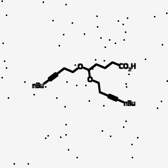 CCCCC#CCCOC(CCCC(=O)O)OCCC#CCCCC